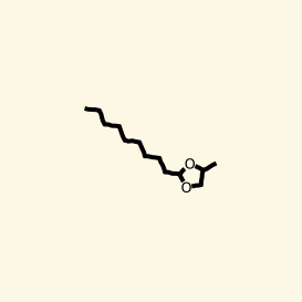 CCCCCCCCCC1OCC(C)O1